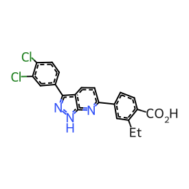 CCc1cc(-c2ccc3c(-c4ccc(Cl)c(Cl)c4)n[nH]c3n2)ccc1C(=O)O